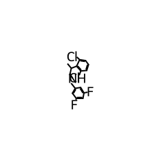 CC(CNCc1cc(F)cc(F)c1)c1c(Cl)cccc1Cl